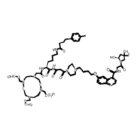 CC1(F)C[C@H](C#N)N(C(=O)CNC(=O)c2ccnc3ccc(OCCCCN4CCN(C(=O)CC(=O)NC(=O)[C@H](CCCCNC(=O)CCCc5ccc(I)cc5)NC(=O)CN5CCN(COC=O)CCN(COC=O)CCN(CC(=O)O)CC5)CC4)cc23)C1